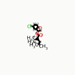 CC(C)=CC1C(C(=O)OC2COc3ccc(Cl)cc32)C1(C)C